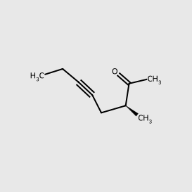 CCC#CC[C@H](C)C(C)=O